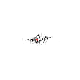 C=CCOC(=O)C(=O)N1C(=O)[C@H]([C@@H](C)O[Si](C)(C)C(C)(C)C)[C@H]1CC(=O)C(C)=CC1CCN(C(=O)OCC=C)C1